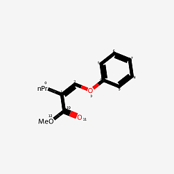 CCCC(=COc1ccccc1)C(=O)OC